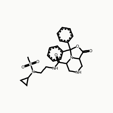 CS(=O)(=O)N(CCNC(=O)C1CNCC2C(=O)OC(c3ccccc3)(c3ccccc3)N12)C1CC1